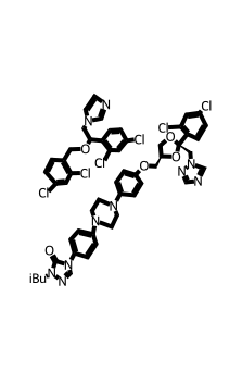 CCC(C)n1ncn(-c2ccc(N3CCN(c4ccc(OC[C@H]5CO[C@](Cn6cncn6)(c6ccc(Cl)cc6Cl)O5)cc4)CC3)cc2)c1=O.Clc1ccc(COC(Cn2ccnc2)c2ccc(Cl)cc2Cl)c(Cl)c1